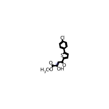 COC(=O)/C(O)=C/C(=O)c1ccc(-c2ccc(Cl)cc2)s1